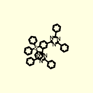 c1ccc(-c2nc(-c3ccccc3)nc(-c3ccc(S(c4ccccc4)(c4ccccc4)c4ccccc4)c(-c4nc(-c5ccccc5)nc(-c5ccccc5)n4)c3)n2)cc1